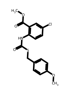 COC(=O)c1cc(Cl)ccc1NC(=O)SCc1ccc(OC)cc1